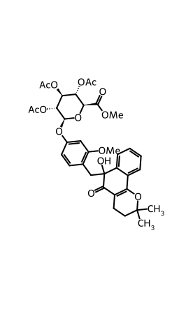 COC(=O)[C@H]1O[C@@H](Oc2ccc(CC3(O)C(=O)C4=C(OC(C)(C)CC4)c4ccccc43)c(OC)c2)[C@H](OC(C)=O)[C@@H](OC(C)=O)[C@@H]1OC(C)=O